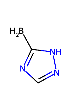 Bc1ncn[nH]1